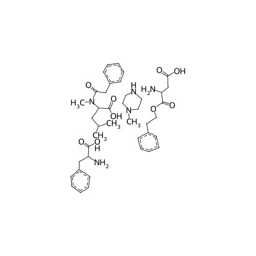 CC(C)CC(C(=O)O)N(C)C(=O)Cc1ccccc1.CN1CCNCC1.NC(CC(=O)O)C(=O)OCCc1ccccc1.NC(Cc1ccccc1)C(=O)O